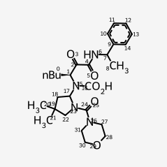 CCCC[C@@H](C(=O)C(=O)NC(C)c1ccccc1)N(C(=O)O)C1CC(C)(C)CN1C(=O)N1CCOCC1